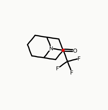 O=C1CC2CCCC(C1)N2CC(F)(F)F